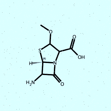 COC1S[C@@H]2C(N)C(=O)N2C1C(=O)O